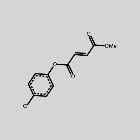 COC(=O)/C=C/C(=O)Oc1ccc(Cl)cc1